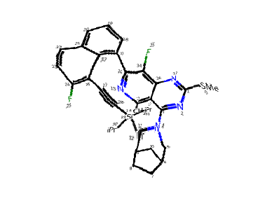 CSc1nc(N2CC3CCC(C3)C2)c2c(C)nc(-c3cccc4ccc(F)c(C#C[Si](C(C)C)(C(C)C)C(C)C)c34)c(F)c2n1